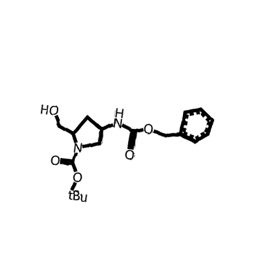 CC(C)(C)OC(=O)N1CC(NC(=O)OCc2ccccc2)CC1CO